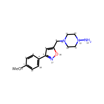 COc1ccc(-c2cc(CN3CCN(N)CC3)on2)cc1